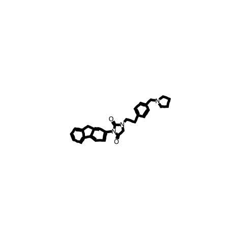 O=C1CN(CCc2ccc(CN3CCCC3)cc2)C(=O)N1c1ccc2c(c1)Cc1ccccc1-2